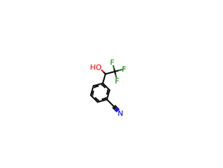 N#Cc1cccc(C(O)C(F)(F)F)c1